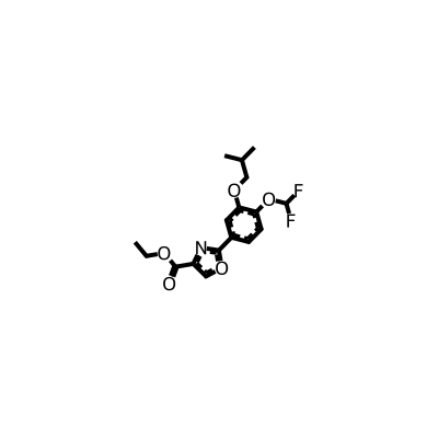 CCOC(=O)c1coc(-c2ccc(OC(F)F)c(OCC(C)C)c2)n1